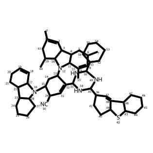 CC1=CC2C3CC(C)C=C(C)C3N(C3CC(N4C5C=CCCC5C5CCCCC54)C(C#N)C=C3C3NC(C4C=C5C(CC4)SC4CCCCC54)NC(C4CCCCC4)N3)C2C(C)C1